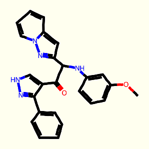 COc1cccc(NC(C(=O)c2c[nH]nc2-c2ccccc2)c2cc3ccccn3n2)c1